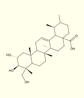 CC1CCC2(C(=O)O)CC[C@]3(C)C(=CCC4[C@@]5(C)C[C@@H](O)[C@H](O)[C@@](C)(CO)C5CC[C@]43C)C2[C@H]1C